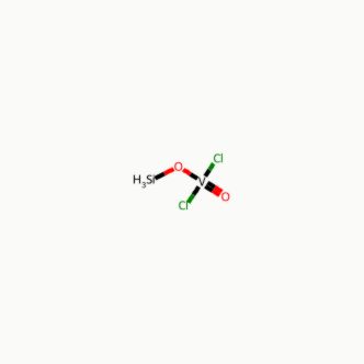 [O]=[V]([Cl])([Cl])[O][SiH3]